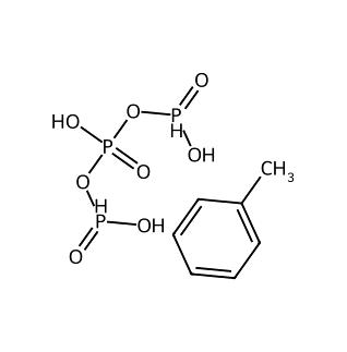 Cc1ccccc1.O=[PH](O)OP(=O)(O)O[PH](=O)O